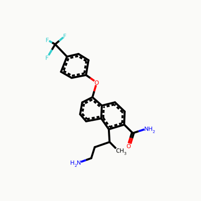 CC(CCN)c1c(C(N)=O)ccc2c(Oc3ccc(C(F)(F)F)cc3)cccc12